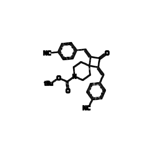 CC(C)(C)OC(=O)N1CCC2(CC1)/C(=C\c1ccc(C#N)cc1)C(=O)/C2=C/c1ccc(C#N)cc1